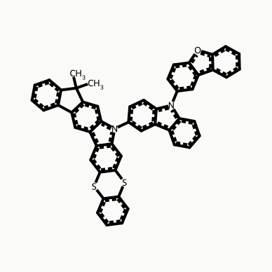 CC1(C)c2ccccc2-c2cc3c4cc5c(cc4n(-c4ccc6c(c4)c4ccccc4n6-c4ccc6oc7ccccc7c6c4)c3cc21)Sc1ccccc1S5